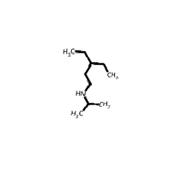 CCC(CC)CCNC(C)C